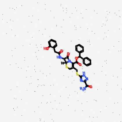 NC(=O)c1n[nH]c(SCC2=C(C(=O)OC(c3ccccc3)c3ccccc3)N3C(=O)C(NC(=O)Cc4ccccc4O)[C@H]3SC2)n1